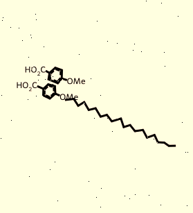 CCCCCCCCCCCCCCCCCCCC.COc1ccc(C(=O)O)cc1.COc1ccc(C(=O)O)cc1